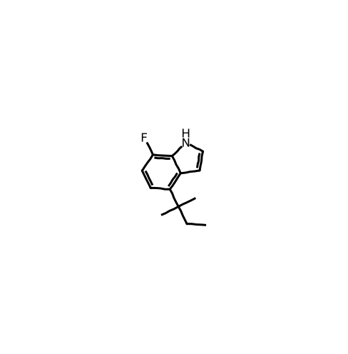 CCC(C)(C)c1ccc(F)c2[nH]ccc12